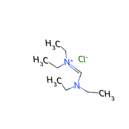 CCN(C=[N+](CC)CC)CC.[Cl-]